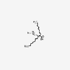 CCCCCCCCC(C(=O)O)N(CCN)CCCCCCCC.Cl